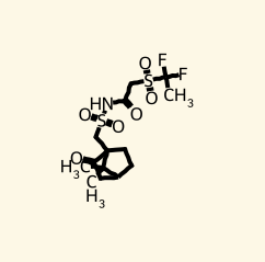 CC1(C)C2CCC1(CS(=O)(=O)NC(=O)CS(=O)(=O)C(C)(F)F)C(=O)C2